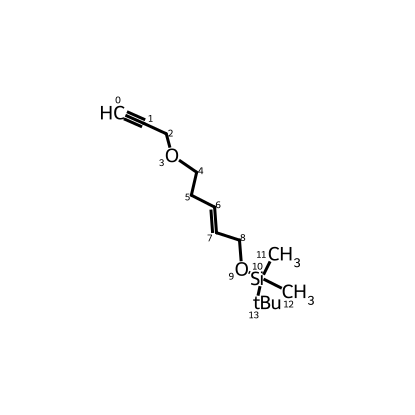 C#CCOCC/C=C/CO[Si](C)(C)C(C)(C)C